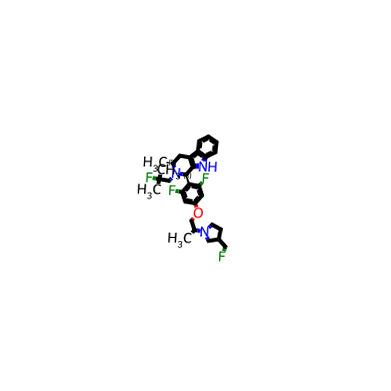 CC(COc1cc(F)c([C@@H]2c3[nH]c4ccccc4c3C[C@@H](C)N2CC(C)(C)F)c(F)c1)N1CCC(CF)C1